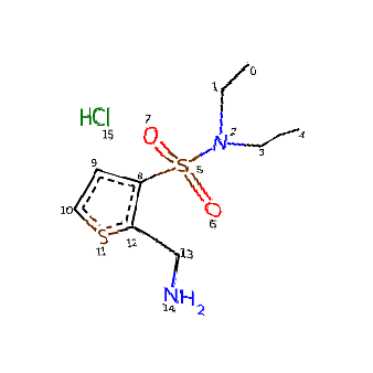 CCN(CC)S(=O)(=O)c1ccsc1CN.Cl